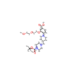 COCCOCCOc1cc(C(=O)OC)ccc1N1CCC(CN2CCN(C(=O)OC(C)(C)C)CC2)CC1